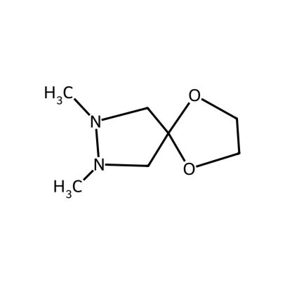 CN1CC2(CN1C)OCCO2